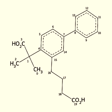 CC(C)(C(=O)O)c1ccc(-c2ccccc2)cc1CCCC(=O)O